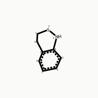 [C]1CSNc2ccccc21